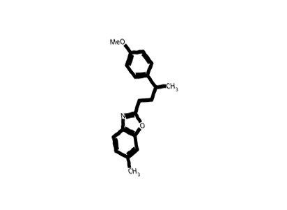 COc1ccc(C(C)CCc2nc3ccc(C)cc3o2)cc1